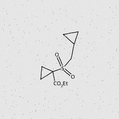 CCOC(=O)C1(S(=O)(=O)CC2CC2)CC1